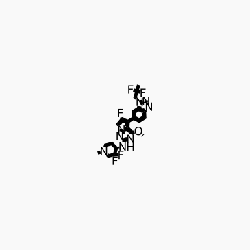 COc1nc(N[C@@H]2CCN(C)CC2(F)F)nn2cc(F)c(-c3ccc4nnn(CC(C)(F)F)c4c3)c12